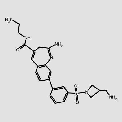 CCCNC(=O)C1=Cc2ccc(-c3cccc(S(=O)(=O)N4CC(CN)C4)c3)cc2N=C(N)C1